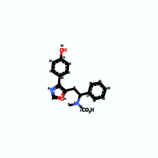 CN(C(=O)O)C(Cc1ocnc1-c1ccc(O)cc1)c1ccccc1